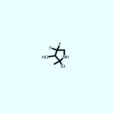 CCC1(C)NCC(F)(F)C1O